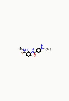 CCCCCCCCNc1ccc(C(=O)Nc2cc(C(=S)NCCCC)ccc2C)cc1